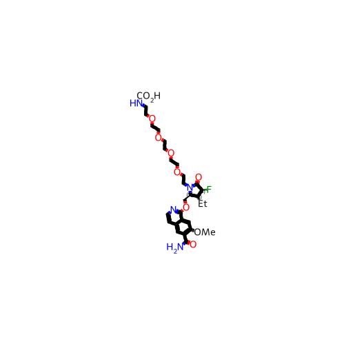 CC[C@@H]1[C@H](F)C(=O)N(CCOCCOCCOCCOCCNC(=O)O)[C@@H]1COc1nccc2cc(C(N)=O)c(OC)cc12